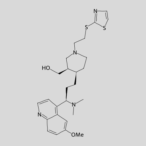 COc1ccc2nccc([C@@H](CC[C@@H]3CCN(CCSc4nccs4)C[C@@H]3CO)N(C)C)c2c1